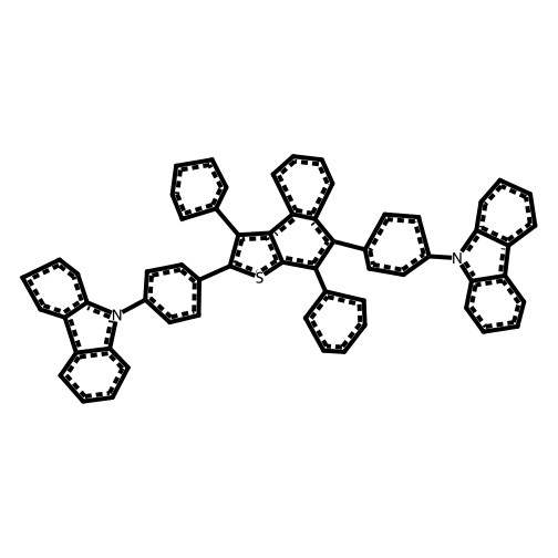 c1ccc(-c2c(-c3ccc(-n4c5ccccc5c5ccccc54)cc3)c3ccccc3c3c(-c4ccccc4)c(-c4ccc(-n5c6ccccc6c6ccccc65)cc4)sc23)cc1